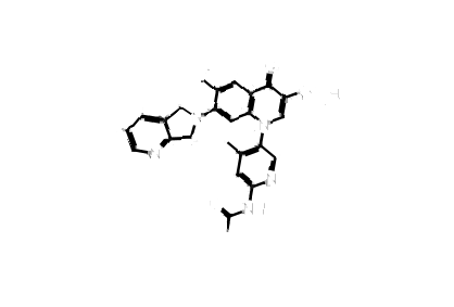 CCC(=O)Nc1cc(C)c(-n2cc(C(=O)O)c(=O)c3cc(Cl)c(N4Cc5cccnc5C4)cc32)cn1